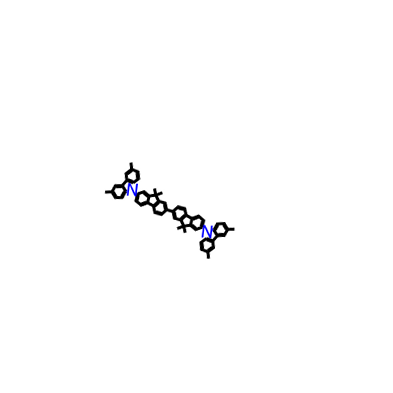 Cc1ccc2c(c1)c1cc(C)ccc1n2-c1ccc2c(c1)C(C)(C)c1cc(-c3ccc4c(c3)C(C)(C)c3cc(-n5c6ccc(C)cc6c6cc(C)ccc65)ccc3-4)ccc1-2